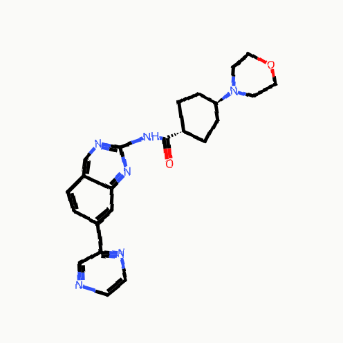 O=C(Nc1ncc2ccc(-c3cnccn3)cc2n1)[C@H]1CC[C@H](N2CCOCC2)CC1